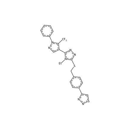 CCn1c(SCc2ccc(-c3csnn3)cc2)nnc1-c1cnn(-c2ccccc2)c1C(F)(F)F